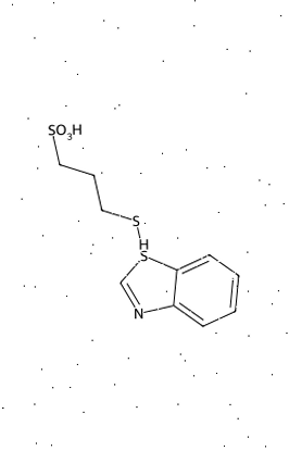 O=S(=O)(O)CCCS[SH]1C=Nc2ccccc21